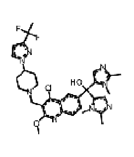 COc1nc2ccc(C(O)(c3cnc(C)n3C)c3cnc(C)n3C)cc2c(Cl)c1CN1CCC(n2ccc(C(C)(F)F)n2)CC1